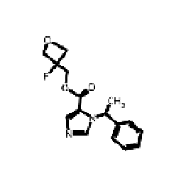 CC(c1ccccc1)n1cncc1C(=O)OCC1(F)COC1